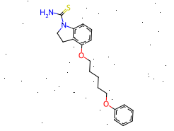 NC(=S)N1CCc2c(OCCCCCOc3ccccc3)cccc21